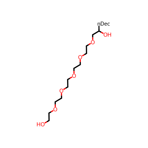 CCCCCCCCCCC(O)COCCOCCOCCOCCOCCO